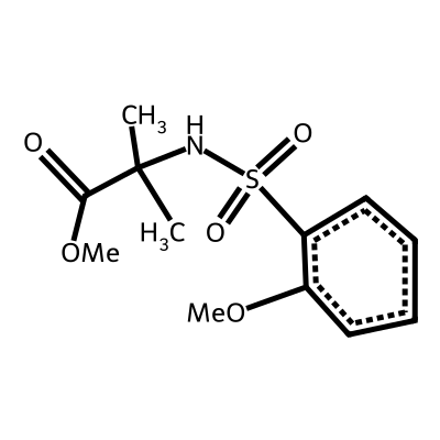 COC(=O)C(C)(C)NS(=O)(=O)c1ccccc1OC